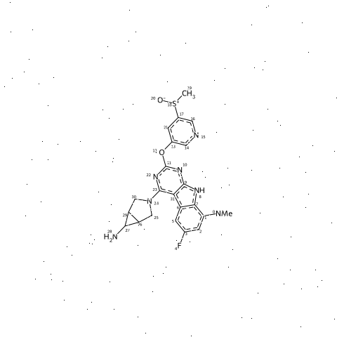 CNc1cc(F)cc2c1[nH]c1nc(Oc3cncc([S+](C)[O-])c3)nc(N3CC4C(N)C4C3)c12